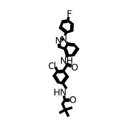 CC(C)(C)CC(=O)NCc1ccc(Cl)c(C(=O)Nc2cccc3c2cnn3-c2ccc(F)cc2)c1